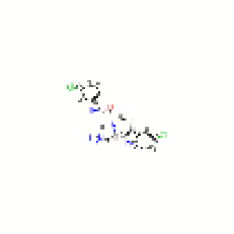 NCC1c2[nH]c3ccc(Cl)cc3c2CCN1CC(=O)Nc1cccc(Cl)c1